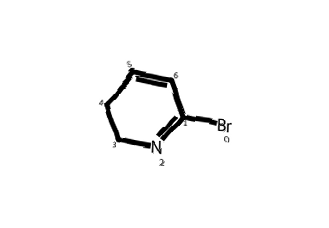 BrC1=NCCC=C1